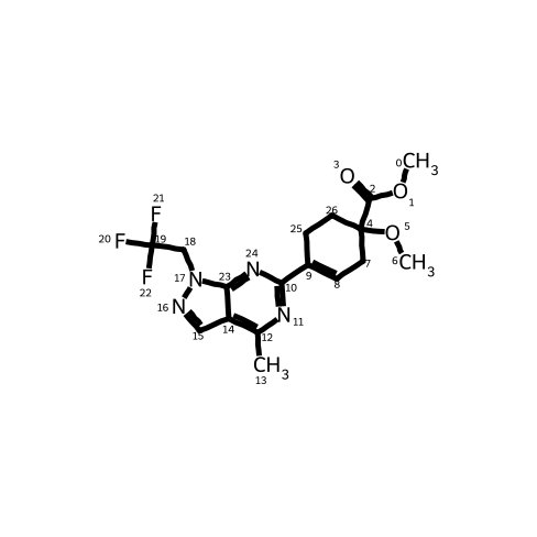 COC(=O)C1(OC)CC=C(c2nc(C)c3cnn(CC(F)(F)F)c3n2)CC1